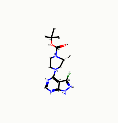 C[C@@H]1CN(c2ncnc3[nH]nc(Br)c23)CCN1C(=O)OC(C)(C)C